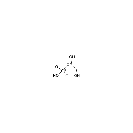 OCCO.[O-][Cl+3]([O-])([O-])O